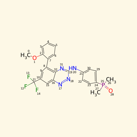 COc1ccccc1-c1cc(C(F)(F)F)cc2nnc(Nc3ccc(P(C)(C)=O)cc3)nc12